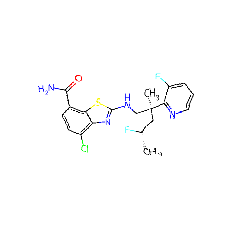 C[C@H](F)C[C@@](C)(CNc1nc2c(Cl)ccc(C(N)=O)c2s1)c1ncccc1F